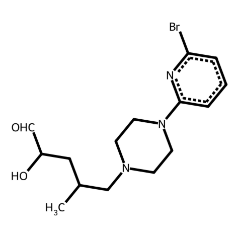 CC(CC(O)C=O)CN1CCN(c2cccc(Br)n2)CC1